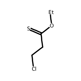 CCOC(=S)CCCl